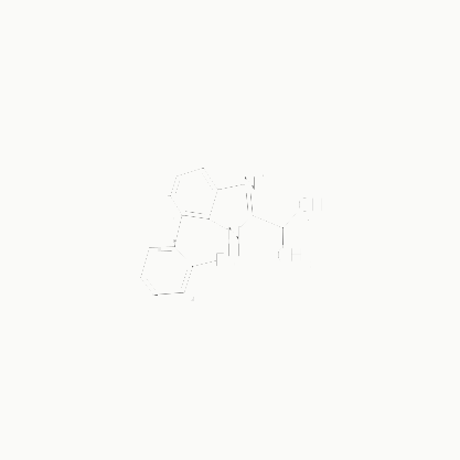 CC(C)c1nc2cccc(-c3ccccc3F)c2[nH]1